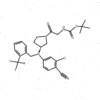 CC(C)(C)OC(=O)NCC(=O)N1CC[C@H](N(Cc2ccccc2C(F)(F)F)c2ccc(C#N)c(Cl)c2)C1